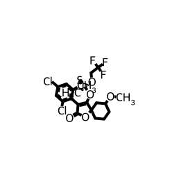 COC1CCCC2(C1)OC(=O)C(c1c(C)cc(Cl)cc1Cl)=C2OP(C)(=S)OCC(F)(F)F